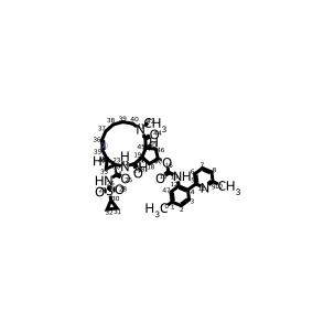 Cc1ccc(-c2cccc(C)n2)c(NC(=O)O[C@@H]2C[C@H]3C(=O)N[C@]4(C(=O)NS(=O)(=O)C5CC5)C[C@H]4/C=C\CCCCN(C)C(=O)[C@@H]3C2)c1